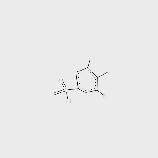 Cc1c(Br)cc(S(=O)(=O)Cl)cc1Br